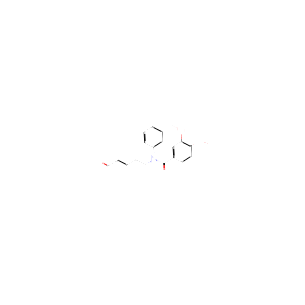 COc1ccc(C(=O)N(CCC=CC=O)c2ccccc2)cc1OC